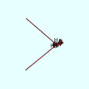 C#CC#CC#CC#CC#CC#CC#CC#CC#CC#CC#CC#CC#CC#CC#CC#CC#CC#CC#CC#CC#CC#CC#CC#COC(=O)C1(C(=O)OC#CC#CC#CC#CC#CC#CC#CC#CC#CC#CC#CC#CC#CC#CC#CC#CC#CC#CC#CC#CC#CC#CC#CC#C)Nc2cccc3c(/N=N/c4ccc5ccccc5c4/N=N/c4ccccc4)ccc(c23)N1